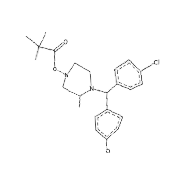 CC1CN(OC(=O)C(C)(C)C)CCN1C(c1ccc(Cl)cc1)c1ccc(Cl)cc1